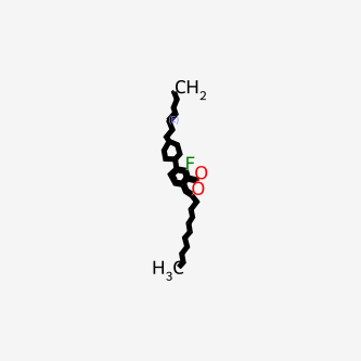 C=CCC/C=C/CCC1CCC(c2ccc3cc(CCCCCCCCCC)oc(=O)c3c2F)CC1